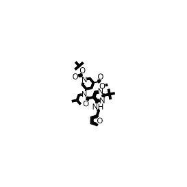 COC(=O)[C@H]1C[C@@H](N(CC(C)C)C(=O)c2cnc(C(C)(C)C)nc2NCc2ccco2)CN(C(=O)OC(C)(C)C)C1